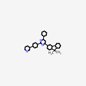 CC1(C)c2ccccc2-c2cc(-c3cc(-c4ccccc4)nc(-c4ccc(-c5cccnc5)cc4)n3)ccc21